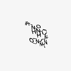 Cc1nc(N2CCOCC2)cc(N(C)c2cccc(NC(=O)NCC(C)C)c2)n1